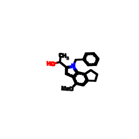 COc1cc2c(c3c1cc(C(C)O)n3Cc1ccccc1)CCC2